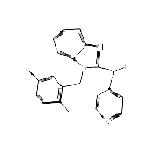 Cc1ccc(C)c(Cn2c(C(F)c3ccncc3)nc3ccccc32)c1